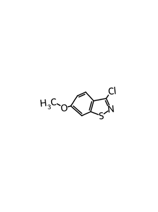 COc1ccc2c(Cl)nsc2c1